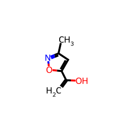 C=C(O)c1cc(C)no1